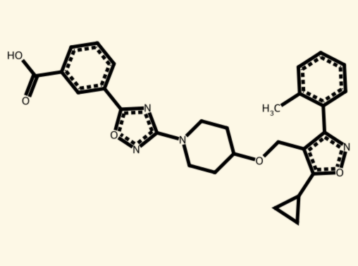 Cc1ccccc1-c1noc(C2CC2)c1COC1CCN(c2noc(-c3cccc(C(=O)O)c3)n2)CC1